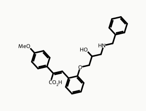 COc1ccc(C(=Cc2ccccc2OCC(O)CNCc2ccccc2)C(=O)O)cc1